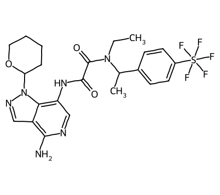 CCN(C(=O)C(=O)Nc1cnc(N)c2cnn(C3CCCCO3)c12)C(C)c1ccc(S(F)(F)(F)(F)F)cc1